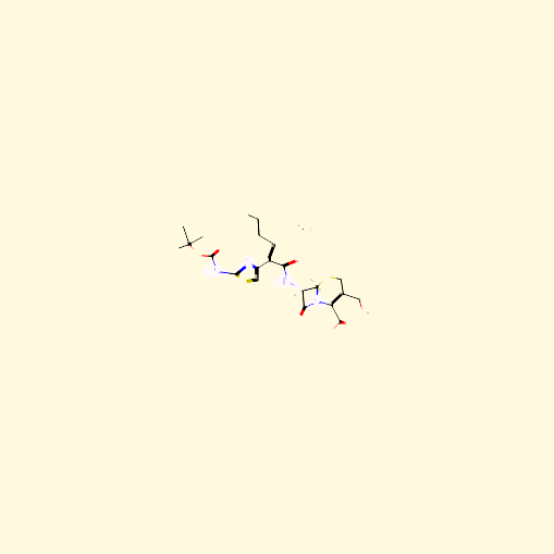 CCCC=C(C(=O)N[C@@H]1C(=O)N2C(C(=O)[O-])=C(CO)CS[C@@H]12)c1csc(NC(=O)OC(C)(C)C)n1.[Na+]